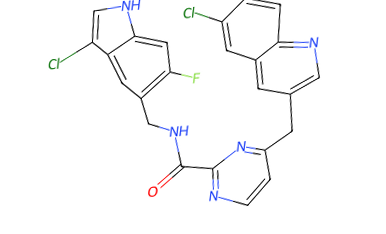 O=C(NCc1cc2c(Cl)c[nH]c2cc1F)c1nccc(Cc2cnc3ccc(Cl)cc3c2)n1